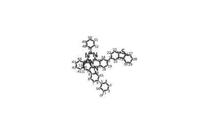 Cc1cccc(-c2ccc3c4ccccc4n(-c4ccc(-c5ccc6sc7ccccc7c6c5)cc4-c4nc(-c5ccccc5)nc(-c5ccccc5)n4)c3c2)c1